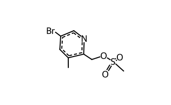 Cc1cc(Br)cnc1COS(C)(=O)=O